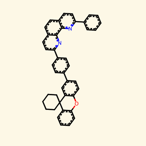 c1ccc(-c2ccc3ccc4ccc(-c5ccc(-c6ccc7c(c6)C6(CCCCC6)c6ccccc6O7)cc5)nc4c3n2)cc1